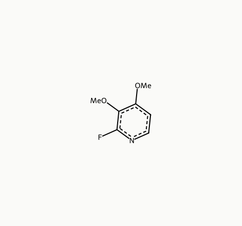 COc1ccnc(F)c1OC